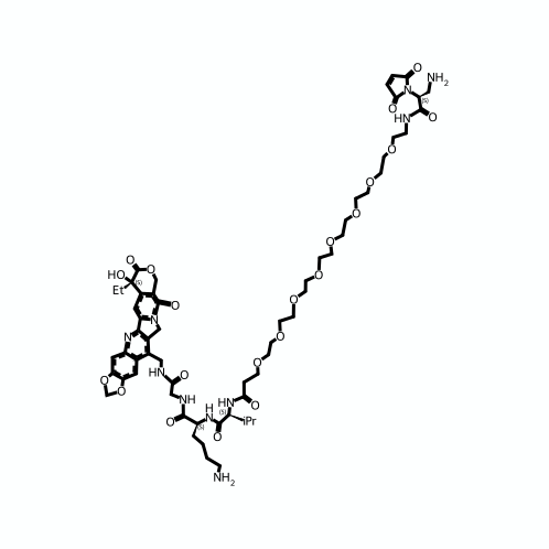 CC[C@@]1(O)C(=O)OCc2c1cc1n(c2=O)Cc2c-1nc1cc3c(cc1c2CNC(=O)CNC(=O)[C@H](CCCCN)NC(=O)[C@@H](NC(=O)CCOCCOCCOCCOCCOCCOCCOCCOCCNC(=O)[C@H](CN)N1C(=O)C=CC1=O)C(C)C)OCO3